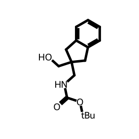 CC(C)(C)OC(=O)NCC1(CO)Cc2ccccc2C1